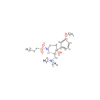 CCCS(=O)(=O)N1CCC(O)(c2cccc(OC)c2)C(CN(C)C)C1